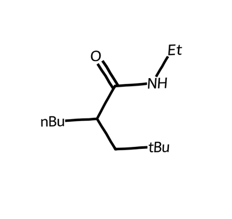 CCCCC(CC(C)(C)C)C(=O)NCC